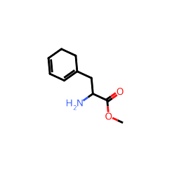 COC(=O)C(N)CC1=CC=CCC1